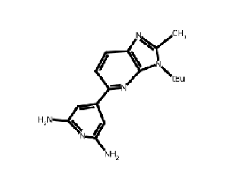 Cc1nc2ccc(-c3cc(N)nc(N)c3)nc2n1C(C)(C)C